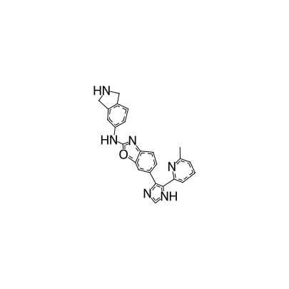 Cc1cccc(-c2[nH]cnc2-c2ccc3nc(Nc4ccc5c(c4)CNC5)oc3c2)n1